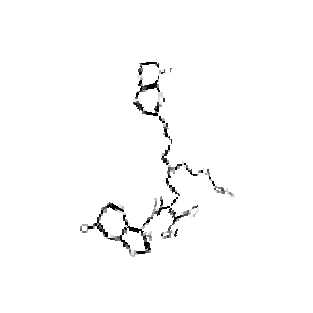 COCCN(CCCCc1ccc2c(n1)NCCC2)CCC(Nc1ncnc2cc(Cl)ccc12)C(=O)O